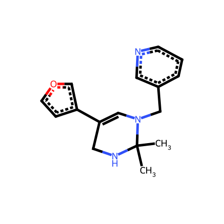 CC1(C)NCC(c2ccoc2)=CN1Cc1cccnc1